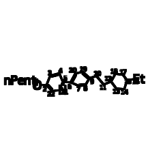 CCCCCOc1ccc(-c2ccc(CCC3CCC(CC)CC3)cc2)nc1